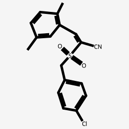 Cc1ccc(C)c(C=C(C#N)S(=O)(=O)Cc2ccc(Cl)cc2)c1